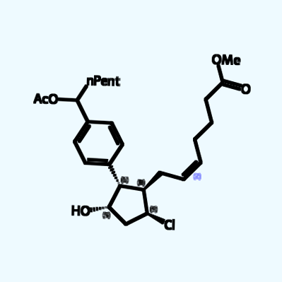 CCCCCC(OC(C)=O)c1ccc([C@@H]2[C@@H](C/C=C\CCCC(=O)OC)[C@@H](Cl)C[C@@H]2O)cc1